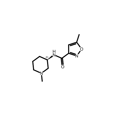 Cc1cc(C(=O)N[C@@H]2CCCN(C)C2)no1